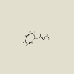 C1=CC=CCC=C1.CCOCC